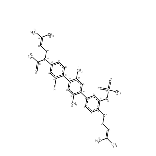 CC(C)=CCOc1ccc(-c2cc(C)c(-c3ccc(N(CC=C(C)C)C(=O)C(F)(F)F)cc3F)cc2C)cc1OS(C)(=O)=O